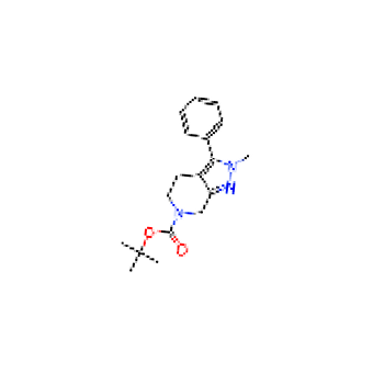 Cn1nc2c(c1-c1ccccc1)CCN(C(=O)OC(C)(C)C)C2